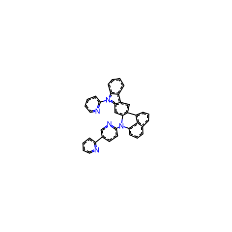 c1ccc(-c2ccc(N3c4cc5c(cc4-c4cccc6cccc3c46)c3ccccc3n5-c3ccccn3)nc2)nc1